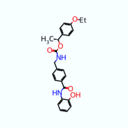 CCOc1ccc([C@H](C)OC(=O)NCc2ccc(C(=O)Nc3ccccc3O)cc2)cc1